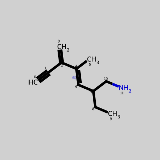 C#CC(=C)/C(C)=C/C(CC)CN